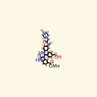 COC(=O)c1ccc2c(c1)/C(=C(/Nc1ccc(N(C)C(=O)CN3CCN(C)CC3)cc1)c1ccc(CO)cc1)C(=O)N2